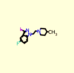 CC1CCN(CCn2nc(I)c3cc(F)ccc32)CC1